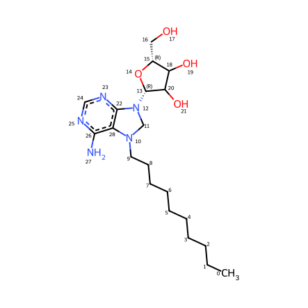 CCCCCCCCCCN1CN([C@@H]2O[C@H](CO)C(O)C2O)c2ncnc(N)c21